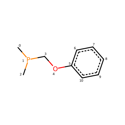 CP(C)COc1ccccc1